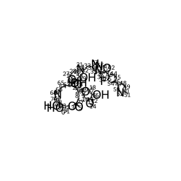 CC[C@H]1OC(=O)[C@H](C)[C@@H](C2C[C@@](C)(OC)[C@@H](O)[C@H](C)O2)[C@H](C)[C@@H](O[C@@H]2O[C@H](C)C[C@H](N(C)CCc3cn([C@H](CF)[C@H](OC)c4ccc(-c5ccc(C)nc5)cc4)nn3)[C@H]2O)[C@](C)(O)C[C@@H](C)CN(C)[C@H](C)[C@@H](O)[C@]1(C)O